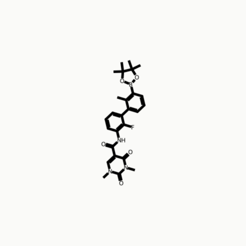 Cc1c(B2OC(C)(C)C(C)(C)O2)cccc1-c1cccc(NC(=O)c2cn(C)c(=O)n(C)c2=O)c1F